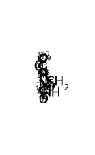 C=C1c2ccc(OC3CCCCC3)cc2CN1C1CCC(=O)NC1=O